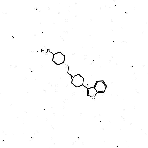 N[C@H]1CC[C@H](CCN2CCC(c3coc4ccccc34)CC2)CC1